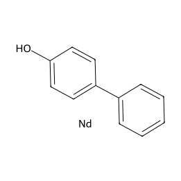 Oc1ccc(-c2ccccc2)cc1.[Nd]